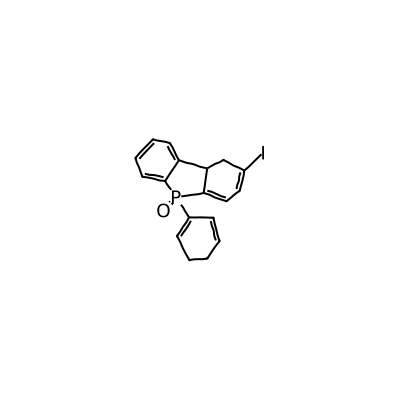 O=P1(C2=CCCC=C2)C2=CC=C(I)CC2c2ccccc21